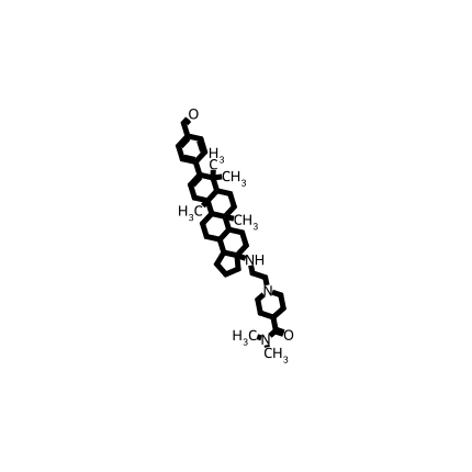 CN(C)C(=O)C1CCN(CCNC23CCCC2C2CCC4C(C)(CCC5C(C)(C)C(c6ccc(C=O)cc6)=CCC54C)C2CC3)CC1